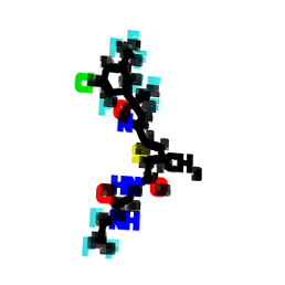 Cc1cc(C2=NO[C@@](c3cc(C(F)(F)F)cc(Cl)c3F)(C(F)(F)F)C2)sc1C(=O)NCC(=O)NC(F)C(F)F